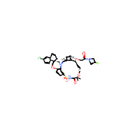 CC1(C)OC/C=C/[C@H](OCC(=O)N2CC(F)C2)[C@@H]2CC[C@H]2CN2C[C@@]3(CCCc4cc(Cl)ccc43)COc3ccc(cc32)S(=O)(=O)NC1=O